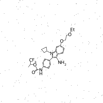 CCOCCOc1ccc2c(N)c(-c3ccc(NC(=O)OC(C)C(F)(F)F)cc3)n(C3CCC3)c2c1